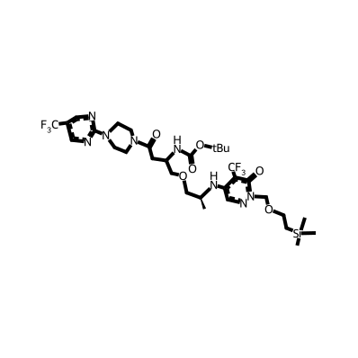 C[C@@H](COCC(CC(=O)N1CCN(c2ncc(C(F)(F)F)cn2)CC1)NC(=O)OC(C)(C)C)Nc1cnn(COCC[Si](C)(C)C)c(=O)c1C(F)(F)F